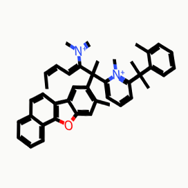 C=[N+](C)/C(=C\C=C/C)C(C)(c1cc2c(cc1C)oc1c3ccccc3ccc21)c1cccc(C(C)(C)c2ccccc2C)[n+]1C